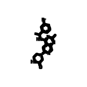 Cc1nc(NC(C)c2cccc(Br)c2)c2cc(N3CCNC(=O)C3)ncc2n1